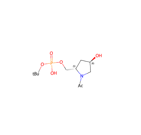 CC(=O)N1C[C@H](O)C[C@H]1COP(=O)(O)OC(C)(C)C